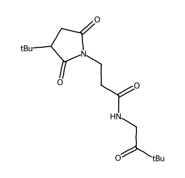 CC(C)(C)C(=O)CNC(=O)CCN1C(=O)CC(C(C)(C)C)C1=O